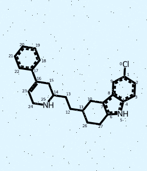 Clc1ccc2[nH]c3c(c2c1)CC(CCC1CC(c2ccccc2)=CCN1)CC3